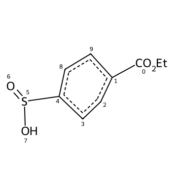 CCOC(=O)c1ccc(S(=O)O)cc1